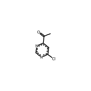 CC(=O)c1cc(Cl)ncn1